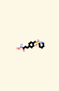 O=C(/C=C/c1ccc(CS(=O)(=O)c2ccccn2)cc1)NO